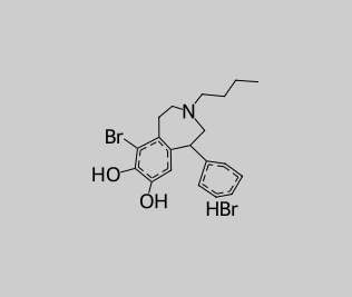 Br.CCCCN1CCc2c(cc(O)c(O)c2Br)C(c2ccccc2)C1